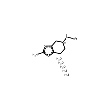 CCCN[C@H]1CCc2nc(N)sc2C1.Cl.Cl.O.O.O